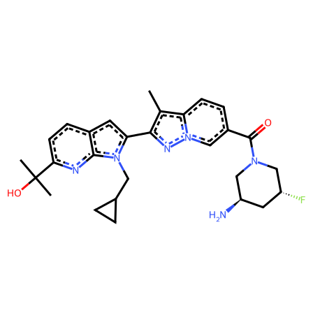 Cc1c(-c2cc3ccc(C(C)(C)O)nc3n2CC2CC2)nn2cc(C(=O)N3C[C@H](N)C[C@@H](F)C3)ccc12